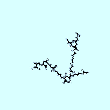 CCC(=O)NCCCCC(NC(=O)CCOCCOCCNC(=O)C(CCCCNC)NC(=O)CC)C(=O)NC(CCCCNC(=O)CCN1C(=O)CC(SCC(C)C(N)=O)C1=O)C(N)=O